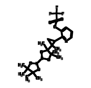 CC1(C)OB(B2OC(C)(C)C(C)(C3(C)CC3c3ncccc3OS(=O)(=O)C(F)(F)F)O2)OC1(C)C